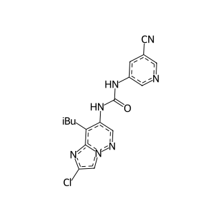 CCC(C)c1c(NC(=O)Nc2cncc(C#N)c2)cnn2cc(Cl)nc12